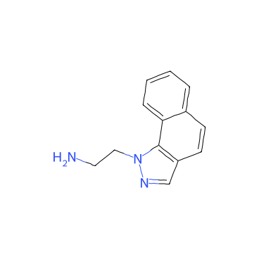 NCCn1ncc2ccc3ccccc3c21